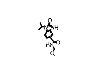 COCNC(=O)c1ccc2c(c1)[nH]c(=O)n2C(C)C